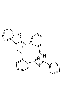 c1ccc(-c2nc3nc(n2)c2ccccc2c2cc(cc4c5ccccc5oc42)c2ccccc32)cc1